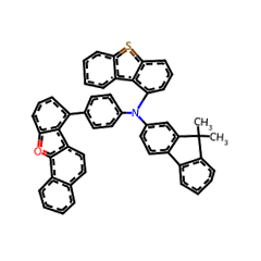 CC1(C)c2ccccc2-c2ccc(N(c3ccc(-c4cccc5oc6c7ccccc7ccc6c45)cc3)c3cccc4sc5ccccc5c34)cc21